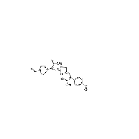 O=Cc1ccc(N(C[C@H]2CC[C@@H](CN(C(=O)O)c3ccc(C=O)cc3)O2)C(=O)O)cc1